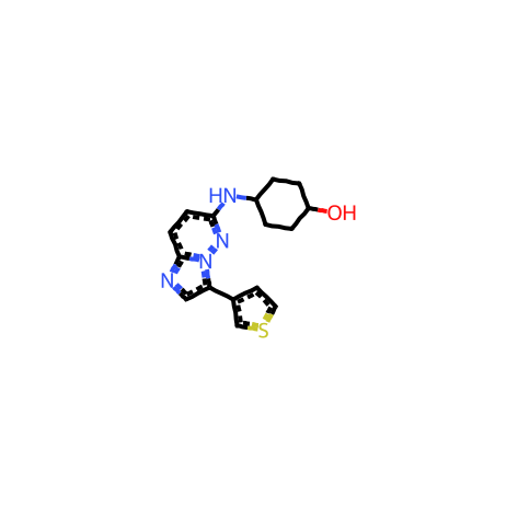 OC1CCC(Nc2ccc3ncc(-c4ccsc4)n3n2)CC1